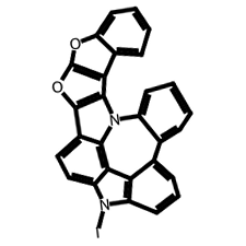 In1c2cccc3c4ccccc4n4c5c(ccc1c5c32)c1oc2oc3ccccc3c2c14